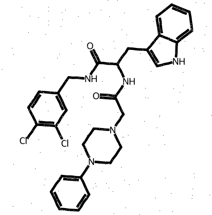 O=C(CN1CCN(c2ccccc2)CC1)NC(Cc1c[nH]c2ccccc12)C(=O)NCc1ccc(Cl)c(Cl)c1